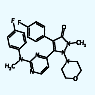 CN(c1ccc(F)cc1)c1nccc(-c2c(-c3ccc(F)cc3)c(=O)n(C)n2N2CCOCC2)n1